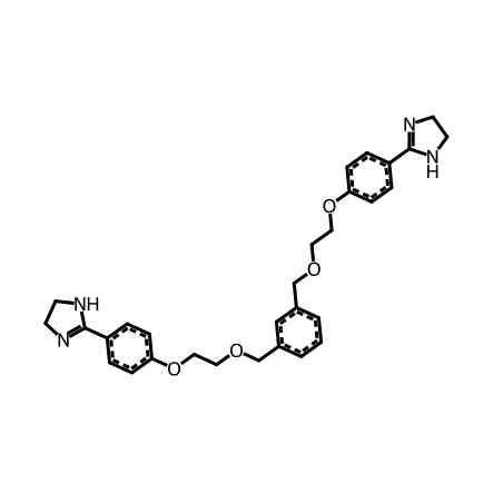 c1cc(COCCOc2ccc(C3=NCCN3)cc2)cc(COCCOc2ccc(C3=NCCN3)cc2)c1